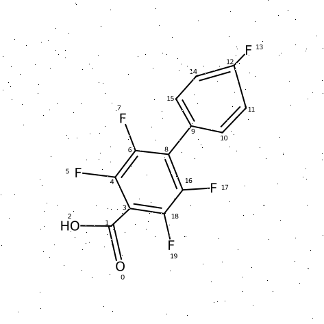 O=C(O)c1c(F)c(F)c(-c2ccc(F)cc2)c(F)c1F